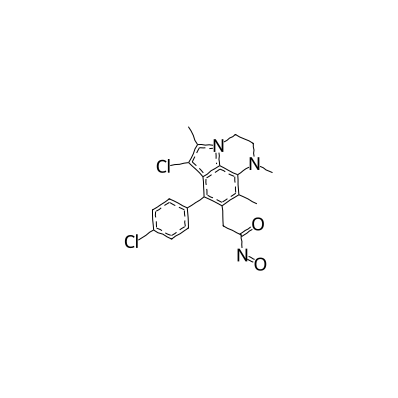 Cc1c(CC(=O)N=O)c(-c2ccc(Cl)cc2)c2c(Cl)c(C)n3c2c1N(C)CC3